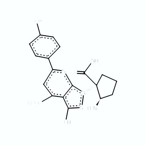 Cc1nn([C@]2(C(N)=O)CCC[C@H]2N)c2nc(-c3ccc(O)cc3)cc(C(=O)O)c12